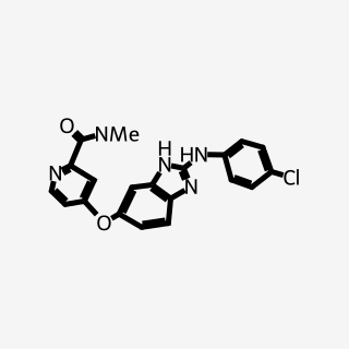 CNC(=O)c1cc(Oc2ccc3nc(Nc4ccc(Cl)cc4)[nH]c3c2)ccn1